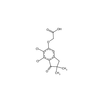 CC1(C)Cc2cc(OCC(=O)O)c(Cl)c(Cl)c2C1=O